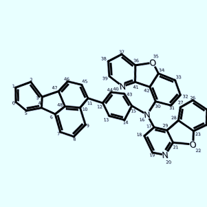 c1ccc2c(c1)-c1cccc3c(-c4ccc(N(c5ccnc6oc7ccccc7c56)c5cccc6oc7cccnc7c56)cc4)ccc-2c13